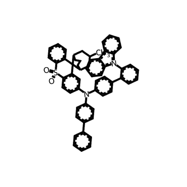 CC1CC2CCCC(C1)C21c2ccccc2S(=O)(=O)c2ccc(N(c3ccc(-c4ccccc4)cc3)c3ccc(-c4ccccc4-n4c5ccccc5c5ccccc54)cc3)cc21